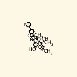 Cc1cc([C@H](C(=O)N2C[C@H](O)C[C@H]2C2=NC(=O)[C@](C)(c3ccc(-c4cccnc4)cc3)N2)C(C)C)on1